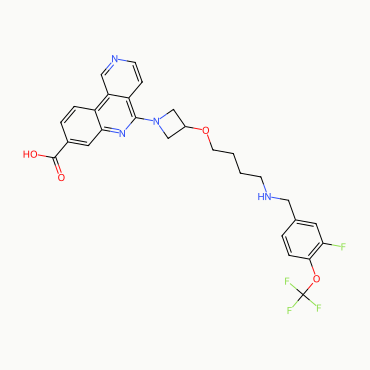 O=C(O)c1ccc2c(c1)nc(N1CC(OCCCCNCc3ccc(OC(F)(F)F)c(F)c3)C1)c1ccncc12